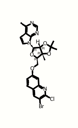 Cc1ncnc2c1ccn2[C@@H]1O[C@H](COc2ccc3cc(Br)c(Cl)nc3c2)[C@@]2(C)OC(C)(C)O[C@@H]12